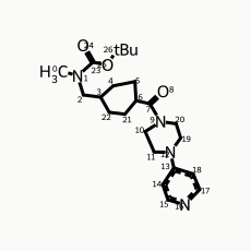 CN(CC1CCC(C(=O)N2CCN(c3ccncc3)CC2)CC1)C(=O)OC(C)(C)C